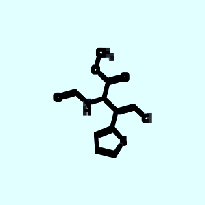 COC(=O)C(NC=O)/C(=C/Cl)c1cccs1